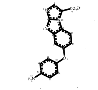 CCOC(=O)c1cnc2sc3cc(Oc4ccc(N)cc4)ccc3n12